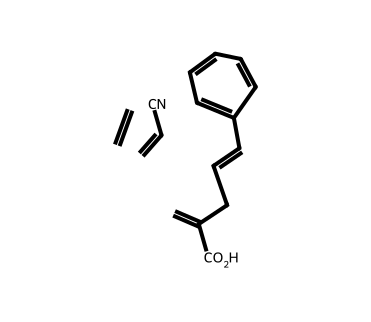 C=C.C=C(CC=Cc1ccccc1)C(=O)O.C=CC#N